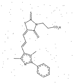 Cc1nn(-c2ccccc2)c(C)c1C=CC=C1SC(=S)N(CCC(=O)O)C1=O